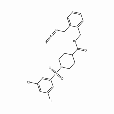 [N-]=[N+]=NCc1ccccc1CNC(=O)C1CCN(S(=O)(=O)c2cc(Cl)cc(Cl)c2)CC1